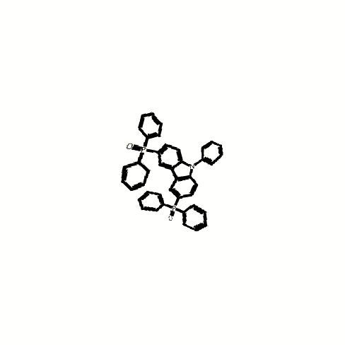 O=P(c1ccccc1)(c1ccccc1)c1ccc2c(c1)c1cc(P(=O)(c3ccccc3)C3C=CC=CC3)ccc1n2-c1ccccc1